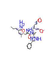 CC/C=C(\C=C(\C)CC[C@H](N)C(=O)N(CC(/C=C/OC)=C/C=C/OC)[C@@H](C)c1nc(-c2ccccc2)c[nH]1)C(N)=O